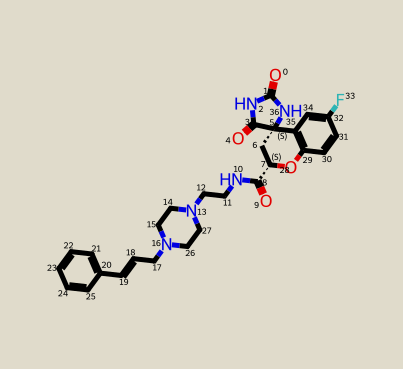 O=C1NC(=O)[C@@]2(C[C@@H](C(=O)NCCN3CCN(CC=Cc4ccccc4)CC3)Oc3ccc(F)cc32)N1